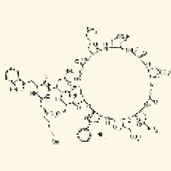 CCC(C)CCCCCCC(=O)NC(Cc1c[nH]c2ccccc12)C(=O)NC(CC(N)=O)C(=O)NC(CC(=O)O)C(=O)NC1C(=O)NCC(=O)NC(CCCN)C(=O)NC(CC(=O)O)C(=O)NC(C)C(=O)NC(CC(=O)O)C(=O)NCC(=O)NC(CC(N)=O)C(=O)NC(C(C)CC(=O)O)C(=O)NC(CC(=O)c2ccccc2N)C(=O)OC1C